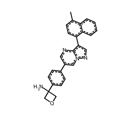 Cc1ccc(-c2cnn3cc(-c4ccc(C5(N)COC5)cc4)cnc23)c2ccccc12